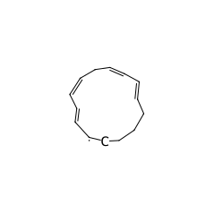 [CH]1/C=C/C=C\C/C=C\C=C\CCCC1